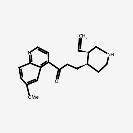 C=C[C@H]1CNCC[C@H]1CCC(=O)c1ccnc2ccc(OC)cc12